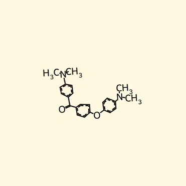 CN(C)c1ccc(Oc2ccc(C(=O)c3ccc(N(C)C)cc3)cc2)cc1